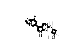 C[C@]1(O)C[C@H](Nc2ncc3c(-c4cc(F)c5nccn5c4)c[nH]c3n2)C1